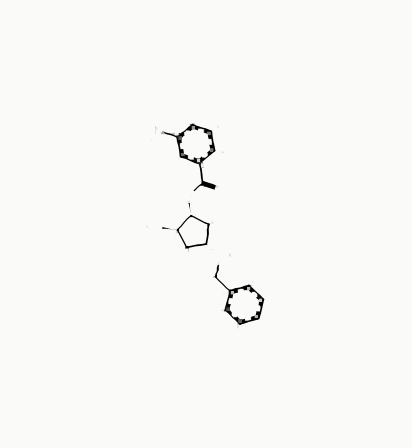 O=C(O[C@H]1C[C@H](OCc2ccccc2)C[C@H]1F)c1cccc([N+](=O)[O-])c1